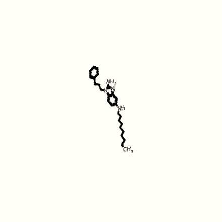 CCCCCCCCCCNc1ccc2c(c1)nc(N)n2CCCc1ccccc1